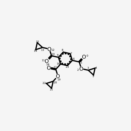 O=C(OC1CC1)c1ccc(C(=O)OC2CC2)c(C(=O)OC2CC2)c1